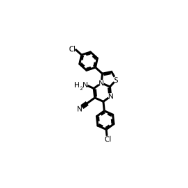 N#CC1=C(N)N2C(c3ccc(Cl)cc3)=CSC2=NC1c1ccc(Cl)cc1